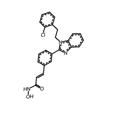 O=C(C=Cc1cccc(-c2nc3ccccc3n2CCc2ccccc2Cl)c1)NO